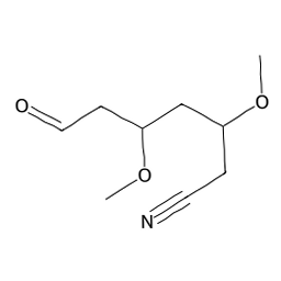 COC(CC#N)CC(CC=O)OC